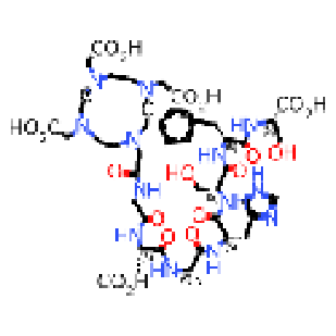 C[C@H](NC(=O)[C@H](CC(=O)O)NC(=O)CNC(=O)CN1CCN(CC(=O)O)CCN(CC(=O)O)CCN(CC(=O)O)CC1)C(=O)N[C@@H](Cc1c[nH]cn1)C(=O)N[C@@H](CO)C(=O)N[C@@H](Cc1ccccc1)C(=O)N[C@@H](CO)C(=O)O